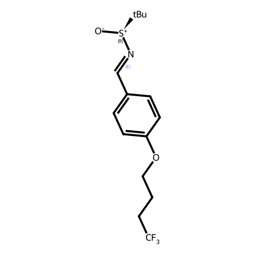 CC(C)(C)[S@+]([O-])/N=C/c1ccc(OCCCC(F)(F)F)cc1